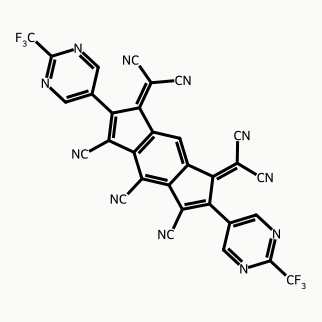 N#CC(C#N)=C1C(c2cnc(C(F)(F)F)nc2)=C(C#N)c2c1cc1c(c2C#N)C(C#N)=C(c2cnc(C(F)(F)F)nc2)C1=C(C#N)C#N